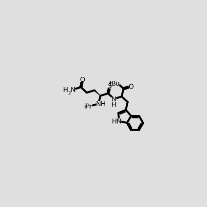 CC(C)N[C@@H](CCC(N)=O)C(=S)NC(Cc1c[nH]c2ccccc12)C(=O)C(C)(C)C